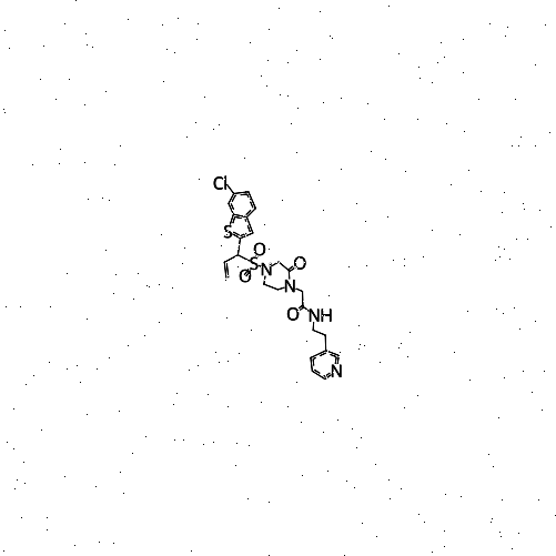 C=CC(c1cc2ccc(Cl)cc2s1)S(=O)(=O)N1CCN(CC(=O)NCCc2cccnc2)C(=O)C1